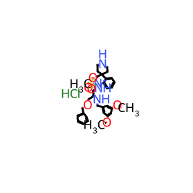 COc1cc(CNC(COCc2ccccc2)C(=O)N[N+]2(S(C)(=O)=O)CC3(CCNCC3)c3ccccc32)cc(OC)c1.Cl